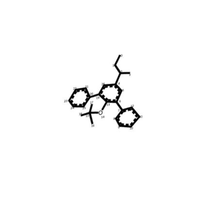 CCC(C)c1cc(-c2ccccc2)c(OC(C)(C)C)c(-c2ccccc2)c1